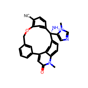 Cn1cncc1[C@]1(N)c2ccc(C#N)c(c2)OCc2cccc(c2)-c2cc(=O)n(C)c3ccc1cc23